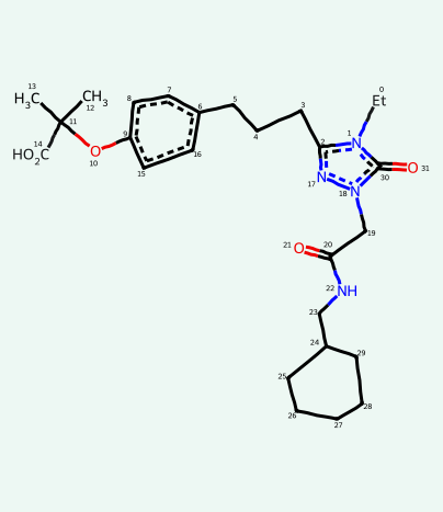 CCn1c(CCCc2ccc(OC(C)(C)C(=O)O)cc2)nn(CC(=O)NCC2CCCCC2)c1=O